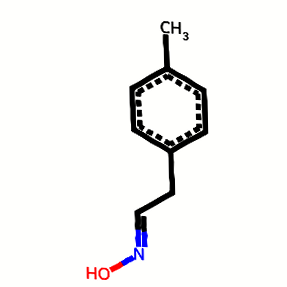 Cc1ccc(CC=NO)cc1